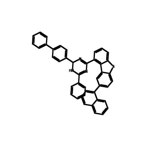 c1ccc(C2=NC(c3cccc4sc5ccc(-c6cccc7ccccc67)cc5c34)=NC(c3ccc(-c4ccccc4)cc3)N2)cc1